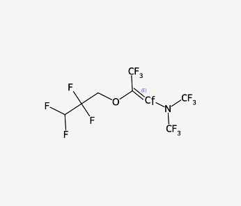 FC(F)C(F)(F)CO/[C](=[Cf]/[N](C(F)(F)F)C(F)(F)F)C(F)(F)F